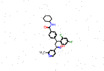 Cc1cc(/C(CC(c2ccc(C(=O)NC3CCCCC3)cc2)c2ccc(F)cc2F)=N/O)ccn1